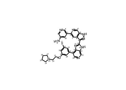 Nc1cncc(-c2cc3c(-c4nc5c(-c6cc(F)cc(OCCN7CCCC7)c6)cncc5[nH]4)n[nH]c3cn2)c1